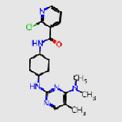 Cc1cnc(NC2CCC(NC(=O)c3cccnc3Cl)CC2)nc1N(C)C